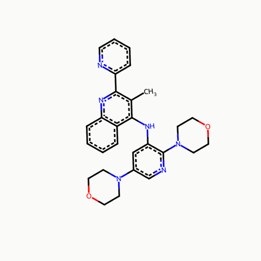 Cc1c(-c2ccccn2)nc2ccccc2c1Nc1cc(N2CCOCC2)cnc1N1CCOCC1